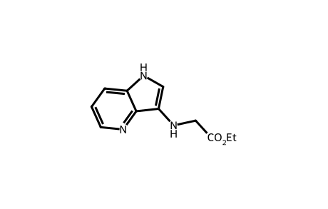 CCOC(=O)CNc1c[nH]c2cccnc12